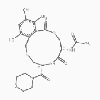 CC(=O)N[C@H]1COC(=O)c2c(C)c(O)cc(O)c2CSC[C@@H](C(=O)N2CCOCC2)NC1=O